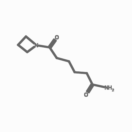 NC(=O)CCCCC(=O)N1CCC1